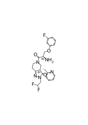 N[C@H](COc1cccc(F)c1)C(=O)N1CCC2=NN(CC(F)F)C(=O)[C@]2(Cc2ccccn2)C1